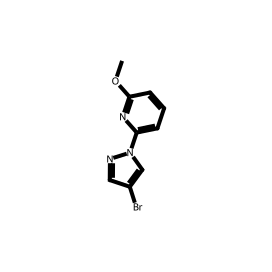 COc1cccc(-n2cc(Br)cn2)n1